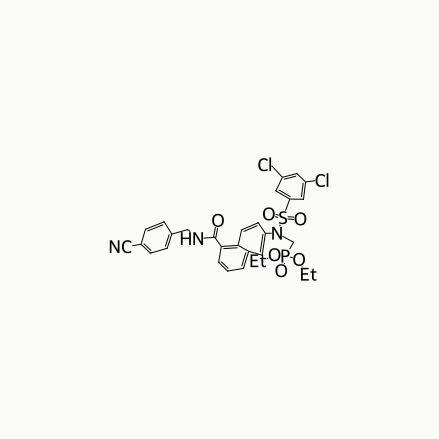 CCOP(=O)(CN(c1ccc2c(C(=O)NCc3ccc(C#N)cc3)cccc2c1)S(=O)(=O)c1cc(Cl)cc(Cl)c1)OCC